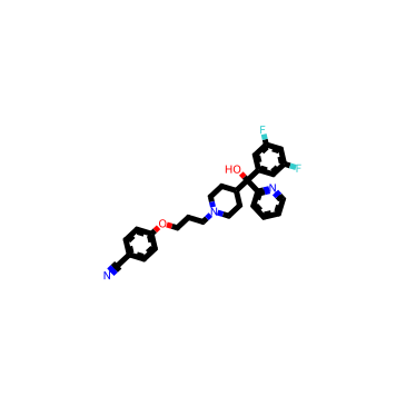 N#Cc1ccc(OCCCN2CCC(C(O)(c3cc(F)cc(F)c3)c3ccccn3)CC2)cc1